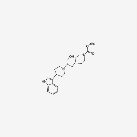 CC(C)(C)OC(=O)N1CCC(CC(CO)N2CCC(c3c[nH]c4ccccc34)CC2)CC1